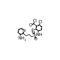 Nc1cccnc1CCCS(=O)(=O)Nc1ccc(Cl)c(C(=O)Cl)c1F